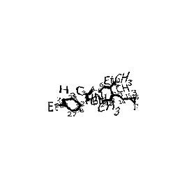 C=C(/C(C)=C\[C@@H]1C=C(C(C)(C)CC)C(CCC2CC2)=CC(C)N1)[C@H]1CC=C(CC)CC1